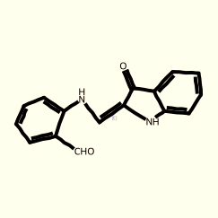 O=Cc1ccccc1N/C=C1/Nc2ccccc2C1=O